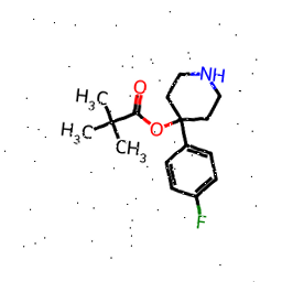 CC(C)(C)C(=O)OC1(c2ccc(F)cc2)CCNCC1